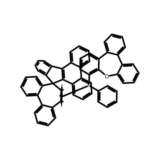 c1ccc(N(c2ccc3c(c2)C2(c4ccccc4-c4ccccc4-3)c3ccccc3-c3c2c2ccccc2c2ccccc32)c2cccc3c2Oc2ccccc2-c2ccccc2-3)cc1